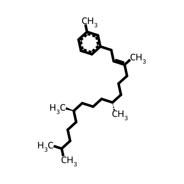 C/C(=C\Cc1cccc(C)c1)CCC[C@H](C)CCC[C@H](C)CCCC(C)C